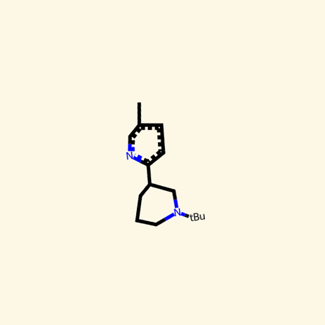 Cc1ccc(C2CCCN(C(C)(C)C)C2)nc1